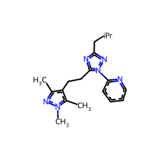 Cc1nn(C)c(C)c1CCc1nc(CC(C)C)nn1-c1ccccn1